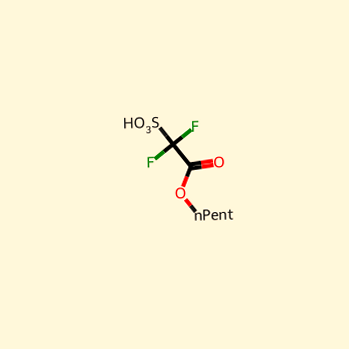 CCCCCOC(=O)C(F)(F)S(=O)(=O)O